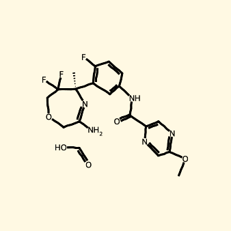 COc1cnc(C(=O)Nc2ccc(F)c([C@@]3(C)N=C(N)COCC3(F)F)c2)cn1.O=CO